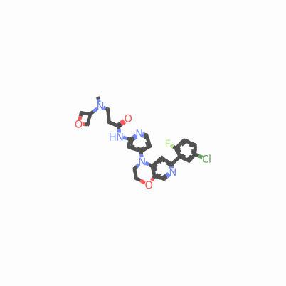 CN(CCC(=O)Nc1cc(N2CCOc3cnc(-c4cc(Cl)ccc4F)cc32)ccn1)C1COC1